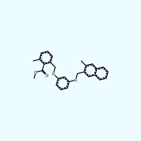 COC(=O)c1c(C)cccc1COc1cccc(OCc2cc3ccccc3cc2C)c1